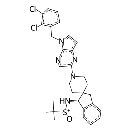 CC(C)(C)[S+]([O-])N[C@@H]1c2ccccc2CC12CCN(c1cnc3c(ccn3Cc3cccc(Cl)c3Cl)n1)CC2